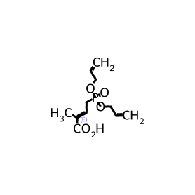 C=CCOP(=O)(C/C=C(\C)C(=O)O)OCC=C